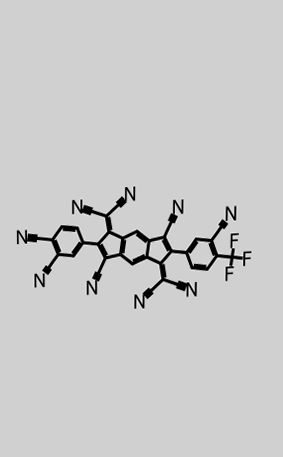 N#CC(C#N)=C1C(c2ccc(C#N)c(C#N)c2)=C(C#N)c2cc3c(cc21)C(C#N)=C(c1ccc(C(F)(F)F)c(C#N)c1)C3=C(C#N)C#N